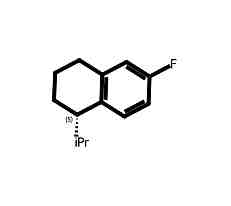 CC(C)[C@@H]1CCCc2cc(F)ccc21